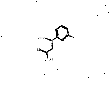 CCCCC(CC)CN(CCC)c1cccc(C)c1